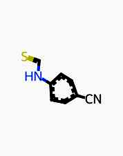 N#Cc1ccc(NC=S)cc1